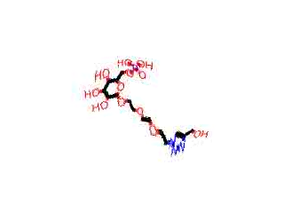 O=P(O)(O)OCC1OC(OCCOCCOCCn2cc(CO)nn2)C(O)C(O)C1O